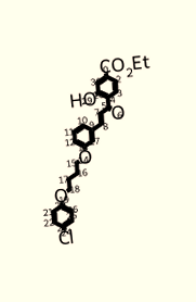 CCOC(=O)c1ccc(C(=O)/C=C/c2cccc(OCCCCOc3ccc(Cl)cc3)c2)c(O)c1